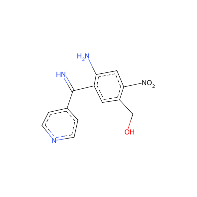 N=C(c1ccncc1)c1cc(CO)c([N+](=O)[O-])cc1N